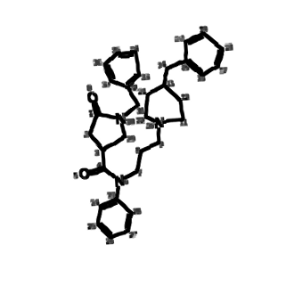 O=C1CC(C(=O)N(CCCN2CCC(Cc3ccccc3)CC2)c2ccccc2)CN1Cc1ccccc1